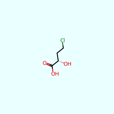 O=C(O)[C@@H](O)CCCl